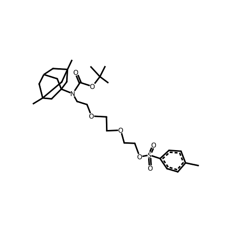 Cc1ccc(S(=O)(=O)OCCOCCOCCN(C(=O)OC(C)(C)C)C23CC4CC(C)(CC(C)(C4)C2)C3)cc1